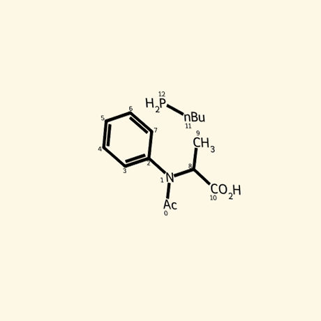 CC(=O)N(c1ccccc1)C(C)C(=O)O.CCCCP